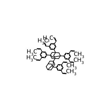 C/C=C\c1cc(/C=C\C)cc(C23CC4CC(C2)CC(C25CC6(c7cc(/C=C\C)cc(/C=C\C)c7)CC(c7cc(/C=C\C)cc(/C=C\C)c7)(CC(c7cc(/C=C\C)cc(/C=C\C)c7)(C6)C2)C5)(C4)C3)c1